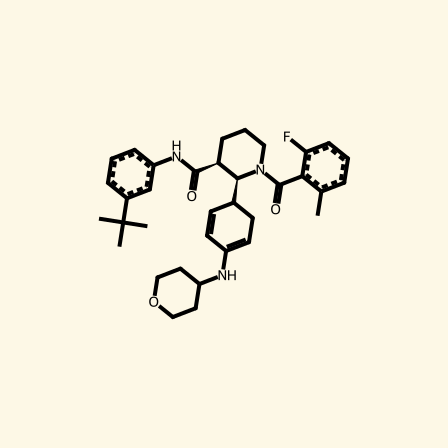 Cc1cccc(F)c1C(=O)N1CCC[C@H](C(=O)Nc2cccc(C(C)(C)C)c2)[C@@H]1C1C=CC(NC2CCOCC2)=CC1